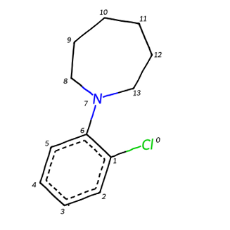 Clc1c[c]ccc1N1CCCCCC1